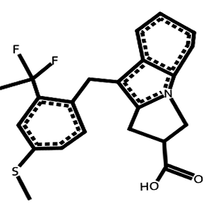 CSc1ccc(Cc2c3n(c4ccccc24)CC(C(=O)O)C3)c(C(F)(F)F)c1